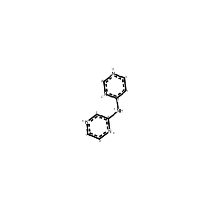 c1cc(Nc2cnccn2)ncn1